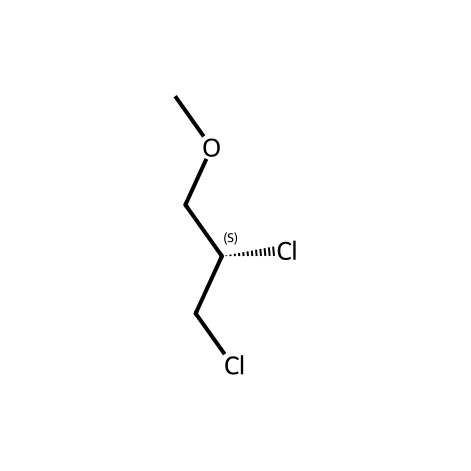 COC[C@H](Cl)CCl